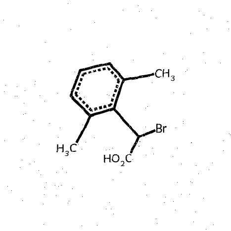 Cc1cccc(C)c1C(Br)C(=O)O